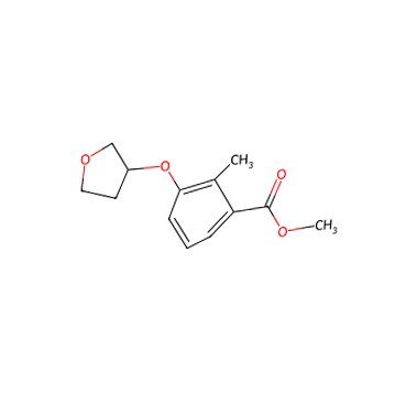 COC(=O)c1cccc(OC2CCOC2)c1C